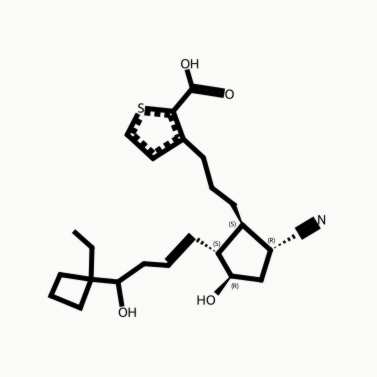 CCC1(C(O)CC=C[C@@H]2[C@@H](CCCc3ccsc3C(=O)O)[C@H](C#N)C[C@H]2O)CCC1